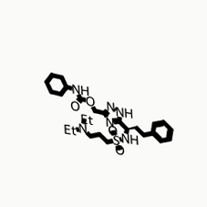 CCN(CC)CCCS(=O)(=O)N[C@H](CCc1ccccc1)c1nc(COC(=O)NC2CCCCC2)n[nH]1